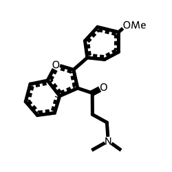 COc1ccc(-c2oc3ccccc3c2C(=O)CCN(C)C)cc1